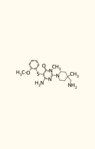 COc1ccccc1Sc1c(N)nc(N2CCC(C)(CN)CC2)n(C)c1=O